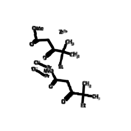 CC(C)[O-].CC(C)[O-].CCC(C)(C)C(=O)CC(=O)OC.CCC(C)(C)C(=O)CC(=O)OC.[Zr+2]